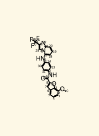 COc1cccc2cc(C(=O)Nc3ccc(Nc4cccc5nc(C(F)(F)F)cn45)cc3)oc12